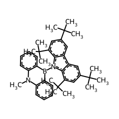 CN1c2ccccc2B(n2c3c(C(C)(C)C)cc(C(C)(C)C)cc3c3cc(C(C)(C)C)cc(C(C)(C)C)c32)c2ccccc21